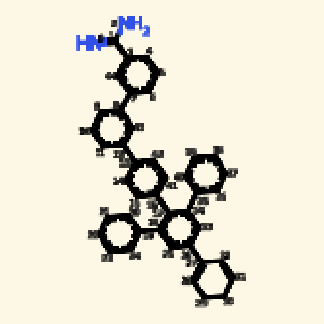 N=C(N)c1cccc(-c2cccc(-c3ccc(-c4c(-c5ccccc5)cc(C5=CCCC=C5)cc4-c4ccccc4)cc3)c2)c1